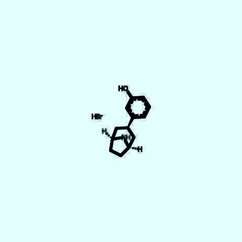 Br.Oc1cccc([C@H]2C[C@H]3CC[C@@H](C2)N3)c1